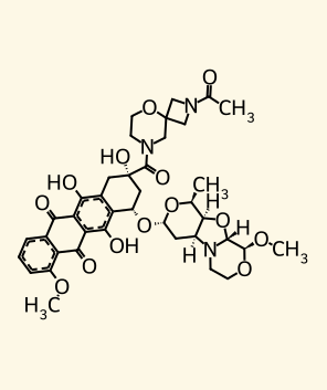 COc1cccc2c1C(=O)c1c(O)c3c(c(O)c1C2=O)C[C@@](O)(C(=O)N1CCOC2(CN(C(C)=O)C2)C1)C[C@@H]3O[C@H]1C[C@H]2[C@H](O[C@@H]3[C@@H](OC)OCCN32)[C@H](C)O1